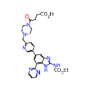 CCOC(=O)Nc1nc2cc(-c3ccc(CN4CCN(C(=O)CCC(=O)O)CC4)nc3)cc(-c3ncccn3)c2[nH]1